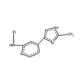 CCNc1cc(-c2c[nH]c(C)n2)ccn1